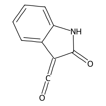 O=C=C1C(=O)Nc2ccccc21